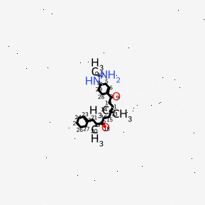 CC(N)N[C@@H]1CC=C(C(=O)CCC(C)(C)CCC(=O)[C@H](C)CC2=CCCCC2)CC1